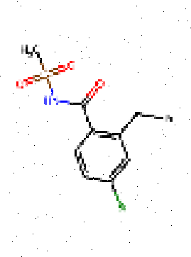 CC(C)Cc1cc(Br)ccc1C(=O)NS(C)(=O)=O